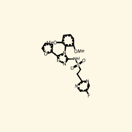 COc1cccc(OC)c1-n1c(NS(=O)(=O)CCc2ncc(F)cn2)nnc1-c1ccco1